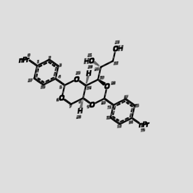 CCCc1ccc(C2OC[C@@H]3OC(c4ccc(CCC)cc4)O[C@H]([C@H](O)CO)[C@@H]3O2)cc1